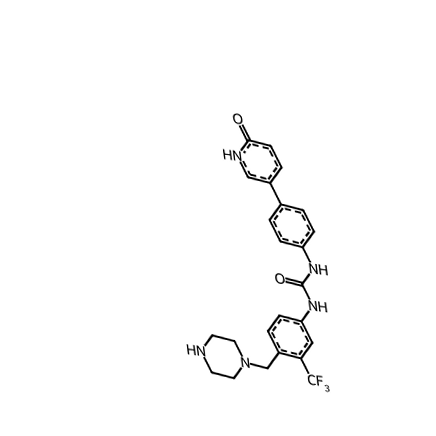 O=C(Nc1ccc(-c2ccc(=O)[nH]c2)cc1)Nc1ccc(CN2CCNCC2)c(C(F)(F)F)c1